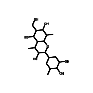 CC1CC(C2OC3C(C)C(O)C(CO)C(O)C3C(C)C2O)CC(O)C1O